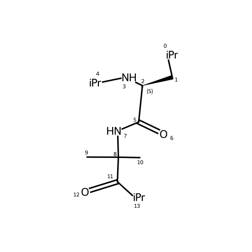 CC(C)C[C@H](NC(C)C)C(=O)NC(C)(C)C(=O)C(C)C